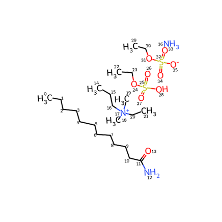 CCCCCCCCCCCC(N)=O.CCC[N+](C)(C)CC.CCOS(=O)(=O)O.CCOS(=O)(=O)[O-].N